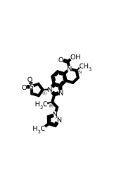 Cc1cnn(C[C@@H](C)c2nc3c4c(ccc3n2[C@H]2CCS(=O)(=O)C2)N(C(=O)O)[C@@H](C)CC4)c1